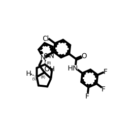 O=C(Nc1cc(F)c(F)c(F)c1)c1ccc(Cl)c(S[C@@H]2CC3CC[C@@H](C2)[C@@]3(O)Cn2cccn2)c1